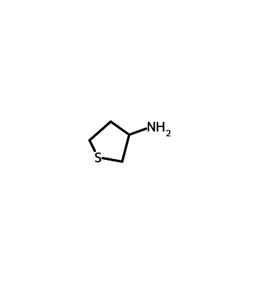 NC1CCSC1